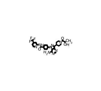 C[C@@H](O)C(=O)N1CCC(c2nn(-c3ccc(C(=O)Nc4cc(C(F)(F)F)ccn4)cc3)c3c(N)ncnc23)CC1